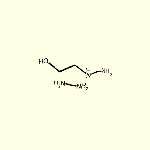 NN.NNCCO